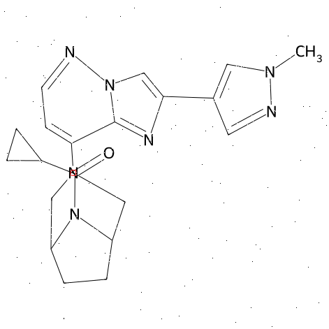 Cn1cc(-c2cn3nccc(N4CC5CCC(C4)N5C(=O)C4CC4)c3n2)cn1